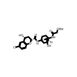 COCC(=O)NC12CCC(NC(=O)[C@H]3C[C@@H](O)c4cc(Cl)ccc4O3)(CC1)C[C@@H]2O